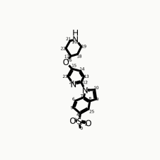 CS(=O)(=O)c1ccc2c(ccn2-c2ccc(OC3CCNCC3)cn2)c1